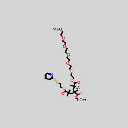 CCCCCCCCOC(=O)C(C)(CC(C)(C)C(=O)OCCSSc1ccccn1)CC(C)(CC)C(=O)OCCOCCOCCOCCOCCOCCOC